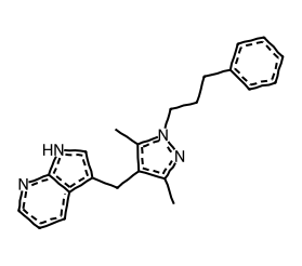 Cc1nn(CCCc2ccccc2)c(C)c1Cc1c[nH]c2ncccc12